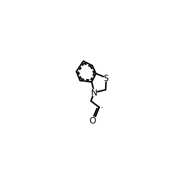 O=[C]CN1CSc2ccccc21